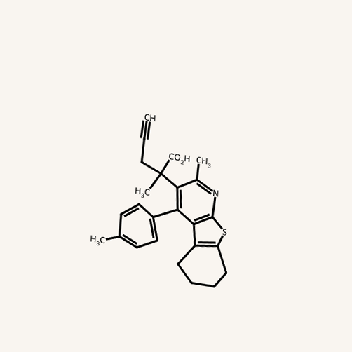 C#CCC(C)(C(=O)O)c1c(C)nc2sc3c(c2c1-c1ccc(C)cc1)CCCC3